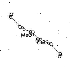 C=CC(=O)OCCCCCCCCCCCOc1ccc2cc(C#Cc3ccc(OCCCCCCOc4ccc(C#Cc5ccc6cc(OCCCCCCCCCCCOC(=O)C=C)ccc6c5)cc4C(=O)OC)c(C(=O)OC)c3)ccc2c1